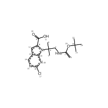 C=C(NCC(C)(C)n1c(C(=O)O)cc2cnc(Cl)nc21)OC(C)(C)C